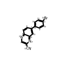 N#Cc1cnc2ccc(-c3ccc(Br)cc3)cc2n1